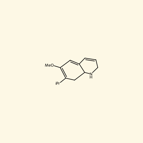 COC1=C(C(C)C)CC2NCC=CC2=C1